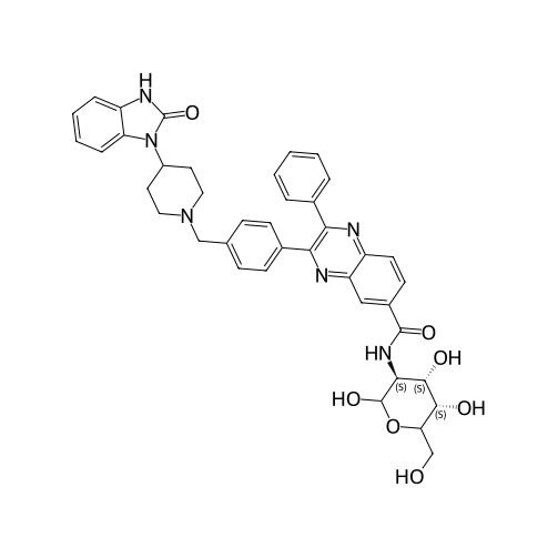 O=C(N[C@@H]1C(O)OC(CO)[C@@H](O)[C@H]1O)c1ccc2nc(-c3ccccc3)c(-c3ccc(CN4CCC(n5c(=O)[nH]c6ccccc65)CC4)cc3)nc2c1